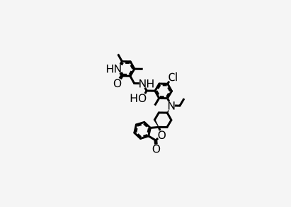 CCN(c1cc(Cl)cc(C(O)NCc2c(C)cc(C)[nH]c2=O)c1C)[C@H]1CC[C@@]2(CC1)OC(=O)c1ccccc12